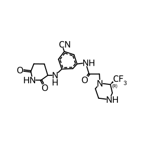 N#Cc1cc(NC(=O)CN2CCNC[C@@H]2C(F)(F)F)cc(NC2CCC(=O)NC2=O)c1